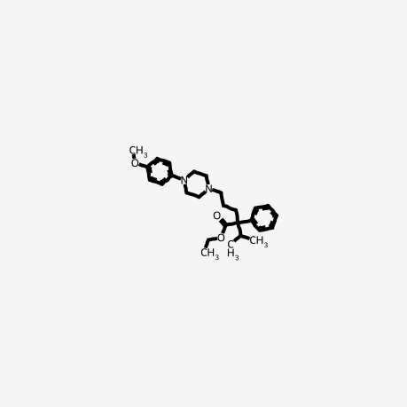 CCOC(=O)C(CCCN1CCN(c2ccc(OC)cc2)CC1)(c1ccccc1)C(C)C